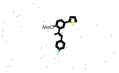 COc1ccc(-c2cccs2)cc1/C(C)=C/c1ccc(F)cc1